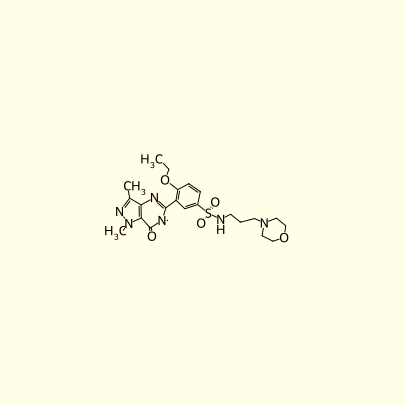 CCOc1ccc(S(=O)(=O)NCCCN2CCOCC2)cc1C1=Nc2c(C)nn(C)c2C(=O)[N]1